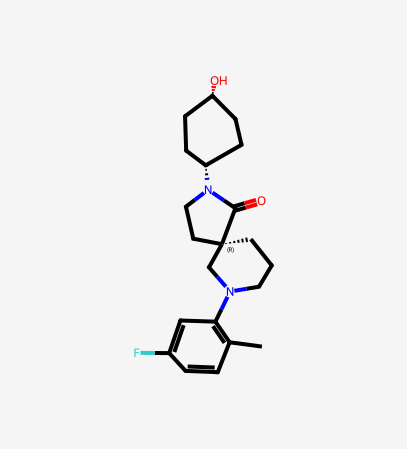 Cc1ccc(F)cc1N1CCC[C@@]2(CCN([C@H]3CC[C@@H](O)CC3)C2=O)C1